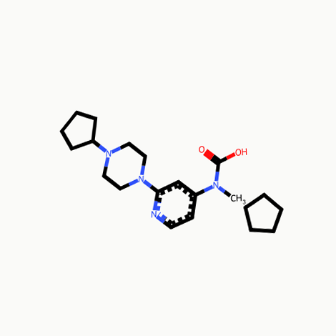 C1CCCC1.CN(C(=O)O)c1ccnc(N2CCN(C3CCCC3)CC2)c1